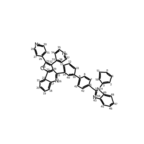 c1ccc(-n2c(-c3ccc(-c4cccc(-c5nc6ccccc6c6oc(-c7ccncc7)c(-c7ccncc7)c56)c4)cc3)nc3ccccc32)cc1